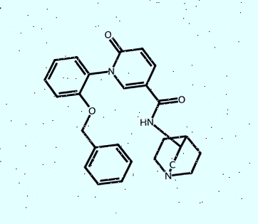 O=C(NC1CN2CCC1CC2)c1ccc(=O)n(-c2ccccc2OCc2ccccc2)c1